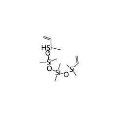 C=C[SiH](C)O[Si](C)(C)O[Si](C)(C)O[Si](C)(C)C=C